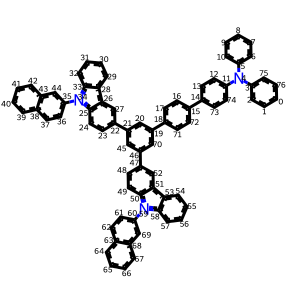 c1ccc(N(c2ccccc2)c2ccc(-c3ccc(-c4cc(-c5ccc6c(c5)c5ccccc5n6-c5ccc6ccccc6c5)cc(-c5ccc6c(c5)c5ccccc5n6-c5ccc6ccccc6c5)c4)cc3)cc2)cc1